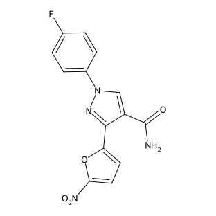 NC(=O)c1cn(-c2ccc(F)cc2)nc1-c1ccc([N+](=O)[O-])o1